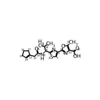 Cc1oc(-c2csc([C@@H](NC(=O)CC3=CCCC3)C(C)C)n2)nc1C(=O)O